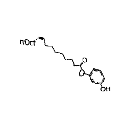 CCCCCCCC/C=C\CCCCCCCC(=O)Oc1cccc(O)c1